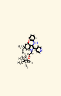 CC1(C)CC(=O)c2c(Nc3ccccc3)c(-c3ccncc3)n(CCO[Si](C)(C)C(C)(C)C)c2C1